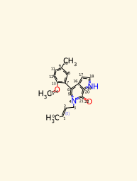 C/C=C/Cn1cc(-c2cc(C)ccc2OC)c2cc[nH]c2c1=O